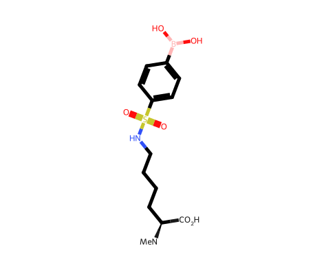 CN[C@@H](CCCCNS(=O)(=O)c1ccc(B(O)O)cc1)C(=O)O